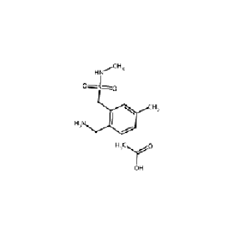 CC(=O)O.CNS(=O)(=O)Cc1cc(C)ccc1CN